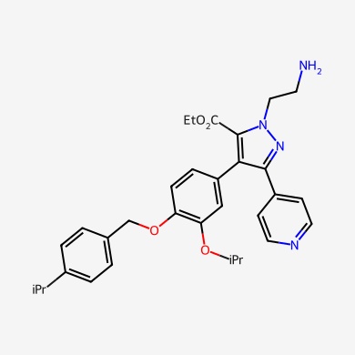 CCOC(=O)c1c(-c2ccc(OCc3ccc(C(C)C)cc3)c(OC(C)C)c2)c(-c2ccncc2)nn1CCN